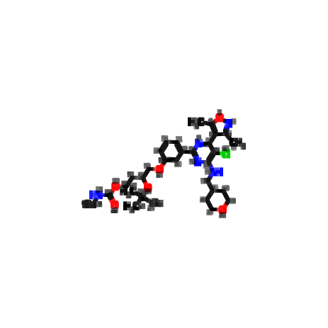 Cc1noc(C)c1-c1nc(-c2cccc(OCC(CCOC(=O)NC(C)(C)C)O[Si](C)(C)C(C)(C)C)c2)nc(NCC2CCOCC2)c1Cl